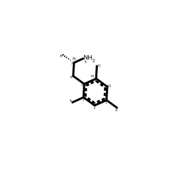 Cc1cc(C)c(C[C@H](C)N)c(C)c1